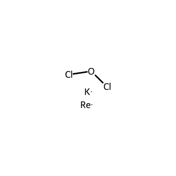 ClOCl.[K].[Re]